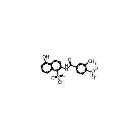 Cc1cc(C(=O)Nc2ccc3c(O)cccc3c2S(=O)(=O)O)ccc1[N+](=O)[O-]